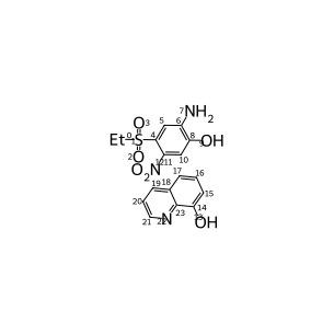 CCS(=O)(=O)c1cc(N)c(O)cc1[N+](=O)[O-].Oc1cccc2cccnc12